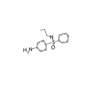 CCCN=S(=O)(c1ccccc1)c1ccc(N)cc1